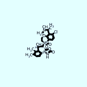 Cc1ccc(F)c([C@@H](C)[C@@H](c2n[nH]c(=O)o2)N2CCOc3c(ccc(Cl)c3[C@@H](C)N(C)C)S2(=O)=O)c1C